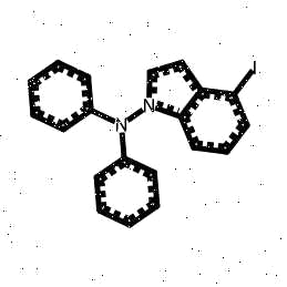 Ic1cccc2c1ccn2N(c1ccccc1)c1ccccc1